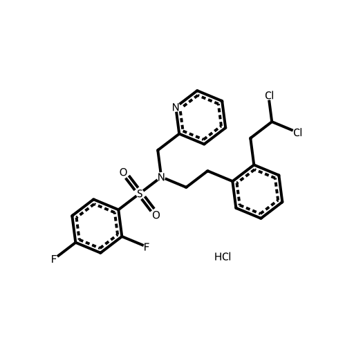 Cl.O=S(=O)(c1ccc(F)cc1F)N(CCc1ccccc1CC(Cl)Cl)Cc1ccccn1